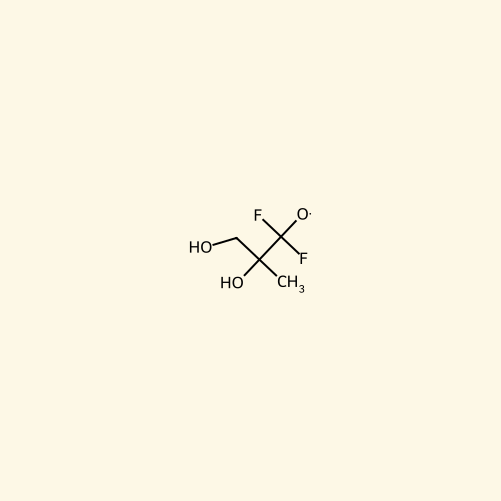 CC(O)(CO)C([O])(F)F